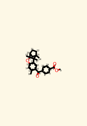 COC(=O)c1ccc(C(=O)c2cc3c(cc2C)OC2(C)C4CCC(C)(C4)C32C)cc1